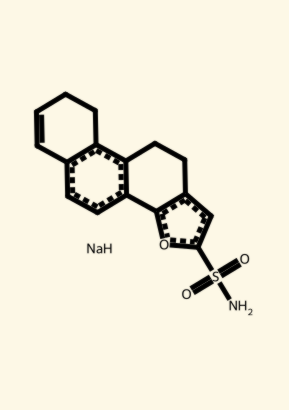 NS(=O)(=O)c1cc2c(o1)-c1ccc3c(c1CC2)CCC=C3.[NaH]